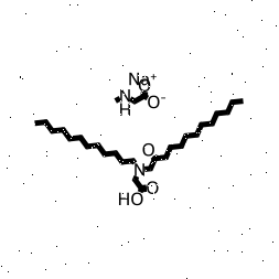 CCCCCCCCCCCCN(CC(=O)O)CC(=O)CCCCCCCCCCC.CNCC(=O)[O-].[Na+]